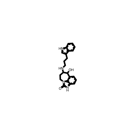 O=c1[nH]c2cccc3c2n1CCC(NCCCc1c[nH]c2ccccc12)C3O